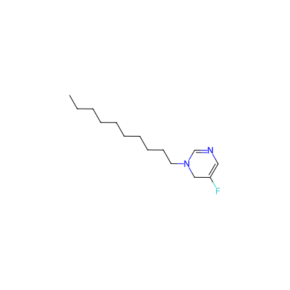 CCCCCCCCCCN1C=NC=C(F)C1